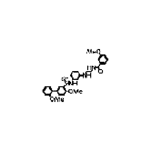 COc1cccc(C(=O)NCCNc2cccc(N[S+]([O-])c3cc(-c4ccccc4OC)ccc3OC)c2)c1